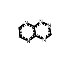 [c]1cnc2nncnc2n1